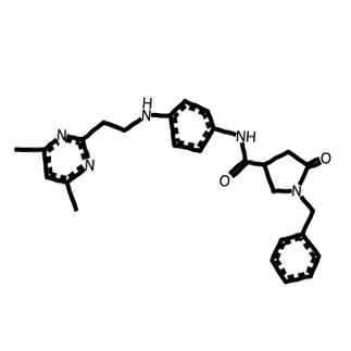 Cc1cc(C)nc(CCNc2ccc(NC(=O)C3CC(=O)N(Cc4ccccc4)C3)cc2)n1